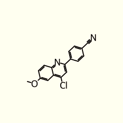 COc1ccc2nc(-c3ccc(C#N)cc3)cc(Cl)c2c1